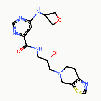 O=C(NC[C@H](O)CN1CCc2ncsc2C1)c1cc(NC2COC2)ncn1